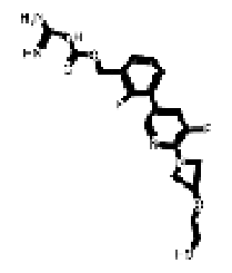 N=C(N)NC(=O)OCc1cccc(-c2cnc(N3CC(OCCO)C3)c(F)c2)c1F